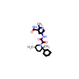 Cc1ncc(NC(=O)C(=O)N2C[C@@H](C)CC[C@@]2(C)c2ccccc2)cc1C(N)=O